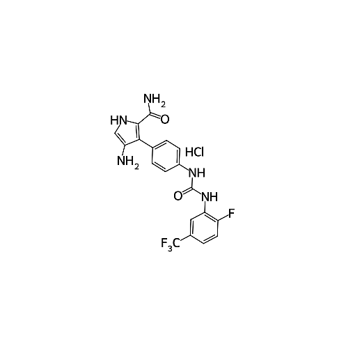 Cl.NC(=O)c1[nH]cc(N)c1-c1ccc(NC(=O)Nc2cc(C(F)(F)F)ccc2F)cc1